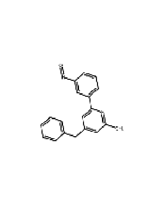 Cc1cc(Cc2ccccc2)cc(-c2cccc(N=O)c2)n1